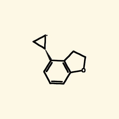 [CH]1C[C@H]1c1cccc2c1CCO2